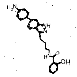 Nc1ccc(-c2ccc3c(CCCCNC(=O)c4ccccc4O)n[nH]c3c2)cc1